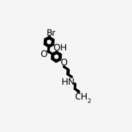 C=CCCNCC=CCOc1ccc(C(=O)c2ccc(Br)cc2)c(O)c1